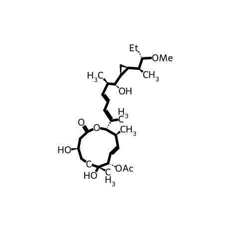 CC[C@H](OC)[C@@H](C)[C@@H]1C[C@@H]1[C@H](O)[C@H](C)/C=C/C=C(\C)[C@H]1OC(=O)C[C@H](O)CC[C@@](C)(O)[C@@H](OC(C)=O)/C=C/[C@@H]1C